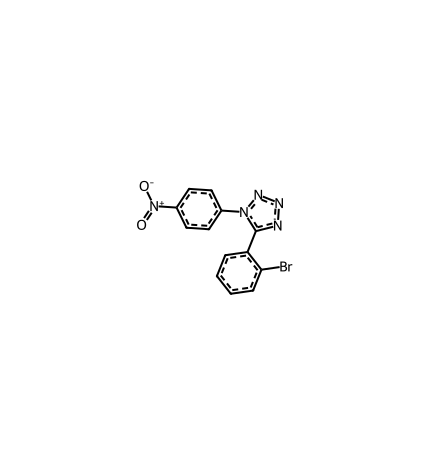 O=[N+]([O-])c1ccc(-n2nnnc2-c2ccccc2Br)cc1